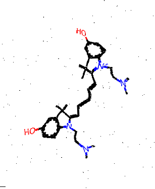 CN(C)CCN1/C(=C/C=C/C=C/C2=[N+](CCN(C)C)c3ccc(O)cc3C2(C)C)C(C)(C)c2cc(O)ccc21